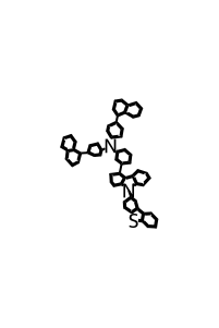 c1cc(-c2cccc3c2c2ccccc2n3-c2ccc3sc4ccccc4c3c2)cc(N(c2ccc(-c3cccc4ccccc34)cc2)c2ccc(-c3cccc4ccccc34)cc2)c1